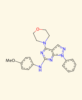 COc1ccc(Nc2nc(N3CCOCC3)c3cnn(-c4ccccc4)c3n2)cc1